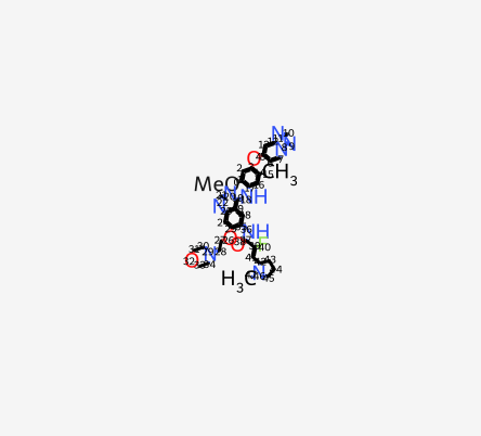 COc1cc(Oc2ccn3ncnc3c2)c(C)cc1Nc1ncnc2cc(OCCN3CCOCC3)c(NC(=O)/C(F)=C/C3CCCN3C)cc12